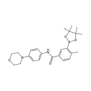 Cc1ccc(C(=O)Nc2ccc(N3CCOCC3)cc2)cc1B1OC(C)(C)C(C)(C)O1